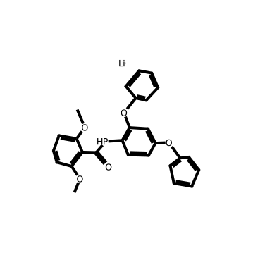 COc1cccc(OC)c1C(=O)Pc1ccc(Oc2ccccc2)cc1Oc1ccccc1.[Li]